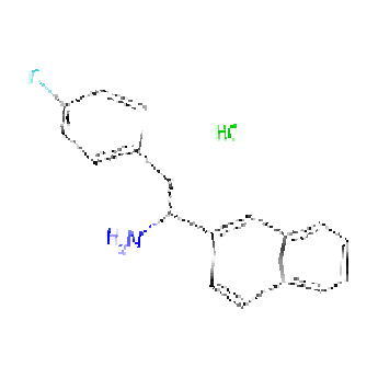 Cl.NC(Cc1ccc(F)cc1)c1ccc2ccccc2c1